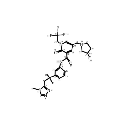 Cn1cnnc1CC(C)(C)c1cccc(NC(=O)c2cc(CN3CC[C@@H](F)C3)cn(CC(F)(F)F)c2=O)c1